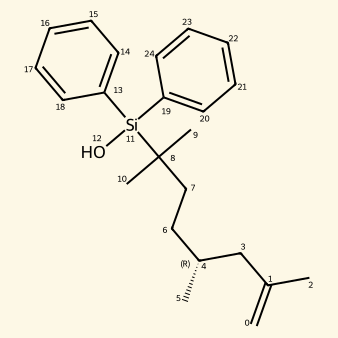 C=C(C)C[C@H](C)CCC(C)(C)[Si](O)(c1ccccc1)c1ccccc1